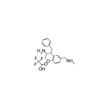 NCc1ccc2c(c1)C(Cc1ccccc1)C(N)CO2.O=C(O)C(F)(F)F